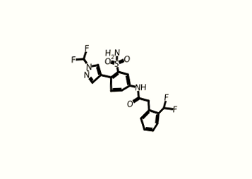 NS(=O)(=O)c1cc(NC(=O)Cc2ccccc2C(F)F)ccc1-c1cnn(C(F)F)c1